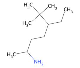 CCC(CCC(C)N)C(C)(C)C